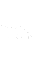 COc1ccc(C(=O)C=Cc2cn(C(C)C)nc2-c2ccc(C)cc2)cc1